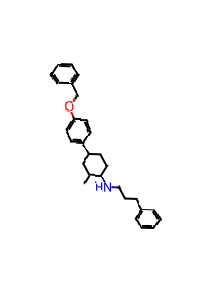 CC1CC(c2ccc(OCc3ccccc3)cc2)CCC1NCCCc1ccccc1